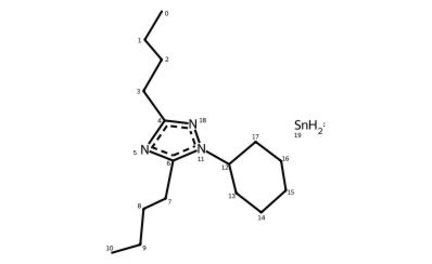 CCCCc1nc(CCCC)n(C2CCCCC2)n1.[SnH2]